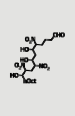 CCCCCCCCC(O)C(CC(C(O)CC(O)C(CCCC=O)[N+](=O)[O-])[N+](=O)[O-])[N+](=O)[O-]